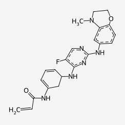 C=CC(=O)NC1=CC=CC(Nc2nc(Nc3ccc4c(c3)N(C)CCO4)ncc2F)C1